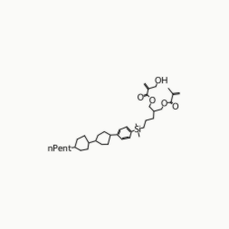 C=C(C)C(=O)OCC(CCC[Si](C)(C)c1ccc(C2CCC(C3CCC(CCCCC)CC3)CC2)cc1)COC(=O)C(=C)CO